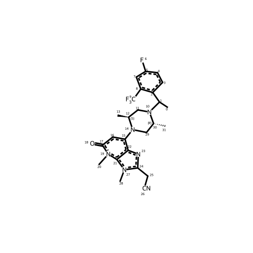 CC(c1ccc(F)cc1C(F)(F)F)N1C[C@H](C)N(c2cc(=O)n(C)c3c2nc(CC#N)n3C)C[C@H]1C